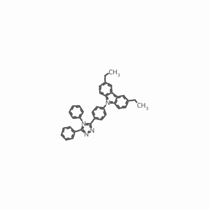 CCc1ccc2c(c1)c1cc(CC)ccc1n2-c1ccc(-c2nnc(-c3ccccc3)n2-c2ccccc2)cc1